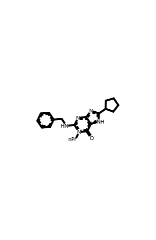 CCCn1c(NCc2ccccc2)nc2nc(C3CCCC3)[nH]c2c1=O